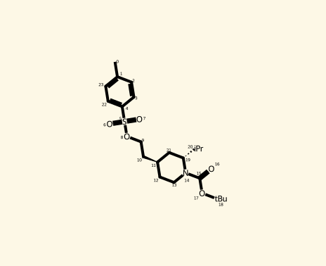 Cc1ccc(S(=O)(=O)OCC[C@@H]2CCN(C(=O)OC(C)(C)C)[C@@H](C(C)C)C2)cc1